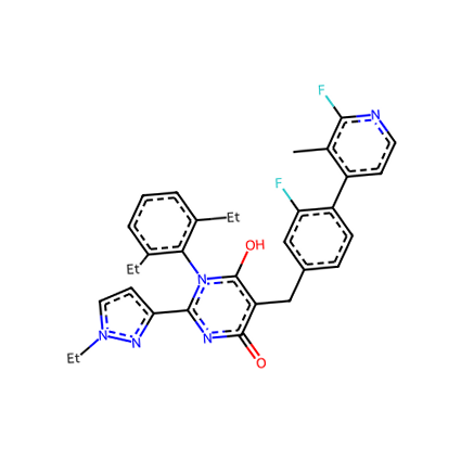 CCc1cccc(CC)c1-n1c(-c2ccn(CC)n2)nc(=O)c(Cc2ccc(-c3ccnc(F)c3C)c(F)c2)c1O